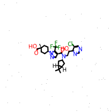 CC1(C)[C@@H]2C[C@H](N(CC(O)c3ncncc3Cl)C(=O)c3cnn([C@H]4CC[C@](C)(C(=O)O)CC4)c3C(F)(F)F)C[C@@H]21